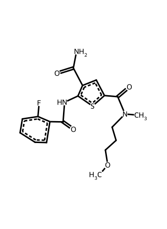 COCCCN(C)C(=O)c1cc(C(N)=O)c(NC(=O)c2ccccc2F)s1